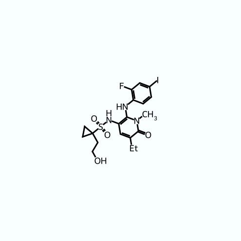 CCc1cc(NS(=O)(=O)C2(CCO)CC2)c(Nc2ccc(I)cc2F)n(C)c1=O